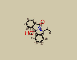 CCCN1C(=O)c2ccccc2C1(O)c1ccccc1